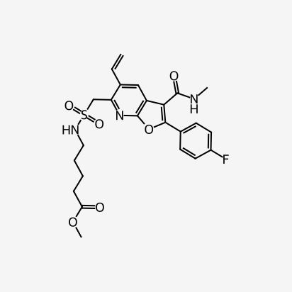 C=Cc1cc2c(C(=O)NC)c(-c3ccc(F)cc3)oc2nc1CS(=O)(=O)NCCCCC(=O)OC